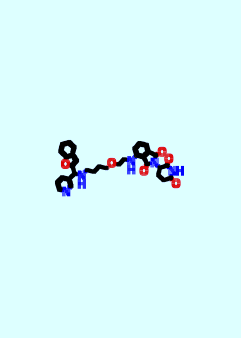 O=C1CCC(N2C(=O)c3cccc(NCCOCCCCNC(c4cccnc4)c4cc5ccccc5o4)c3C2=O)C(=O)N1